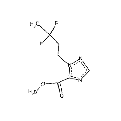 BOC(=O)c1ncnn1CCC(C)(F)F